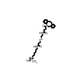 CP(=O)(O)OCCCCCCNC(=O)CCSSCCNC(=O)CCC(=O)N1Cc2ccccc2CCc2ccccc21